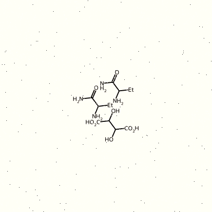 CCC(N)C(N)=O.CCC(N)C(N)=O.O=C(O)C(O)C(O)C(=O)O